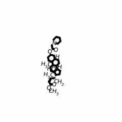 C=C(/C=C\C(=O)OC)[C@H]1CC[C@]2(O)[C@@H]3CC[C@@H]4C[C@@H](OC(=O)CN5CCCCC5)CC[C@]4(C)C3CC[C@]12C